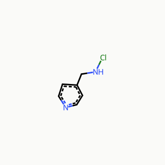 ClNCc1ccncc1